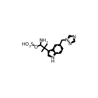 CC(C)(c1c[nH]c2ccc(Cn3cncn3)cc12)C(N)OS(=O)(=O)O